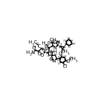 CCC[C@H](NC(=O)[C@@H]1C[C@]2(CC(c3cc(Cl)c(OC)cc3OC)=NO2)CN1C(=O)[C@@H](NC(=O)[C@H]1C[C@@H]1c1ccccc1)C(C)(C)C)C(=O)C(N)=O